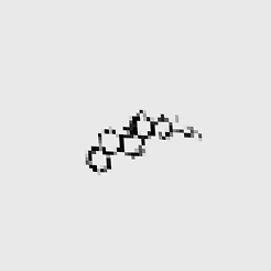 C[C@H]1CCc2ccccc2C1/C=N\c1ncnc2[nH]c(C(F)(F)F)cc12